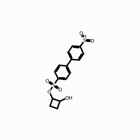 O=[SH](=O)c1ccc(-c2ccc(S(=O)(=O)OC3CCC3O)cc2)cc1